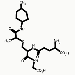 CC1CCC(NC(=O)C(C)SCC(NC(=O)CCC(N)C(=O)O)C(=O)NCC(=O)O)CC1